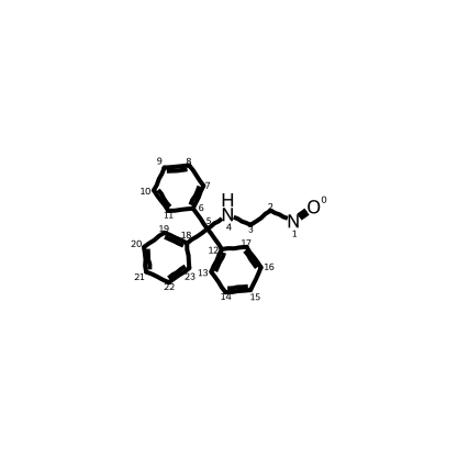 O=NCCNC(c1ccccc1)(c1ccccc1)c1ccccc1